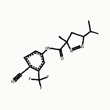 CC(C)C1CC(C)(C(=O)Nc2ccc(C#N)c(C(F)(F)F)c2)N=N1